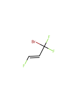 F/C=C/C(F)(F)Br